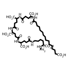 O=C(O)CCCCCCCCCCCCCCC(=O)N[C@H](CCC(=O)NC(CCC(=O)N[C@H](CCC(=O)N[C@@H](CCC(=O)NCCCC[C@H](NP)C(=O)O)C(=O)O)C(=O)O)C(=O)O)C(=O)O